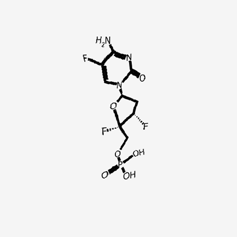 Nc1nc(=O)n([C@H]2C[C@H](F)[C@@](F)(COP(=O)(O)O)O2)cc1F